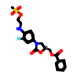 CS(=O)(=O)OCCNc1ccc(N2C[C@H](COC(=O)c3ccccc3)OC2=O)cc1F